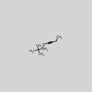 CCC#CO[SiH2]C(C)(C)C